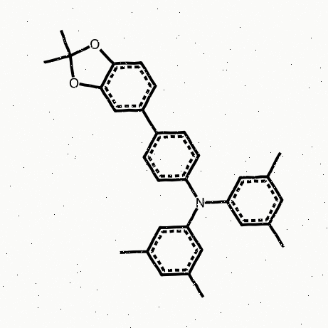 Cc1cc(C)cc(N(c2ccc(-c3ccc4c(c3)OC(C)(C)O4)cc2)c2cc(C)cc(C)c2)c1